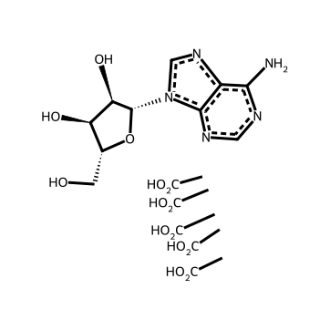 CC(=O)O.CC(=O)O.CC(=O)O.CC(=O)O.CC(=O)O.Nc1ncnc2c1ncn2[C@@H]1O[C@H](CO)[C@@H](O)[C@H]1O